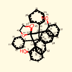 Oc1ccccc1C(c1ccccc1)(c1ccccc1)C1(C(c2ccccc2)(c2ccccc2)c2ccccc2O)OCCO1